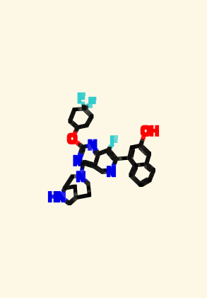 Oc1cc(-c2ncc3c(N4CCC5CNC(C5)C4)nc(OC4CCC(F)(F)CC4)nc3c2F)c2ccccc2c1